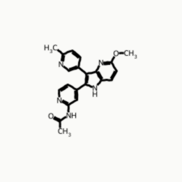 COc1ccc2[nH]c(-c3ccnc(NC(C)=O)c3)c(-c3ccc(C)nc3)c2n1